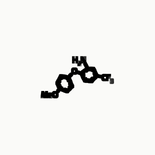 COc1ccc(Oc2ccc(C(F)(F)F)cc2N)cc1